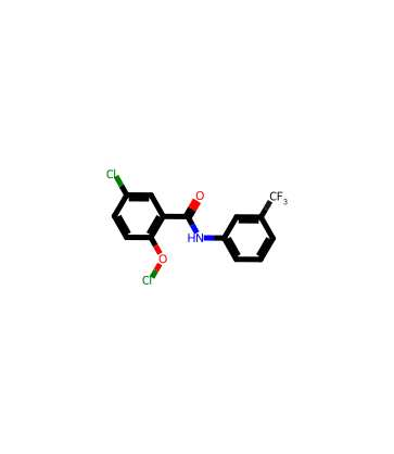 O=C(Nc1cccc(C(F)(F)F)c1)c1cc(Cl)ccc1OCl